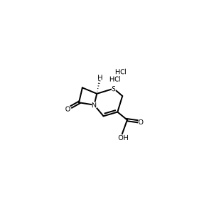 Cl.Cl.O=C(O)C1=CN2C(=O)C[C@H]2SC1